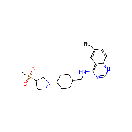 CS(=O)(=O)C1CCN([C@H]2CC[C@H](CNc3ncnc4ccc(C#N)cc34)CC2)C1